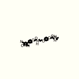 Cc1[nH]c(=O)c(C#N)cc1-c1ccc(OCC(=O)NCCCOc2ccc(OC[C@@H](O)CNC(C)C)cc2)cc1